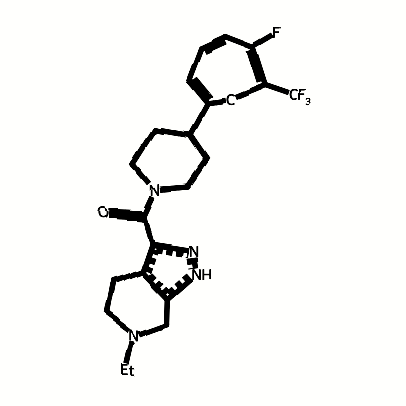 CCN1CCc2c(C(=O)N3CCC(C4=CC=CC(F)=C(C(F)(F)F)C4)CC3)n[nH]c2C1